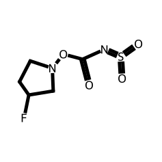 O=C(N=S(=O)=O)ON1CCC(F)C1